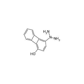 NN(N)c1ccc(O)c2c1-c1ccccc1-2